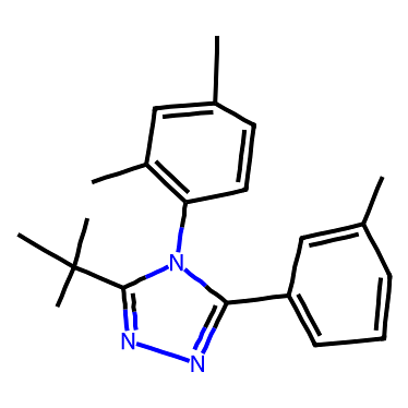 Cc1cccc(-c2nnc(C(C)(C)C)n2-c2ccc(C)cc2C)c1